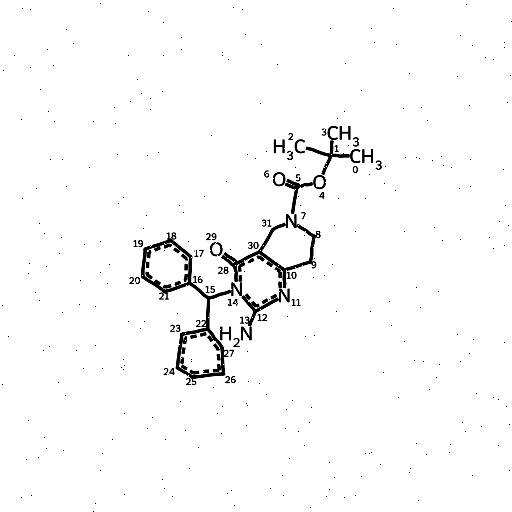 CC(C)(C)OC(=O)N1CCc2nc(N)n(C(c3ccccc3)c3ccccc3)c(=O)c2C1